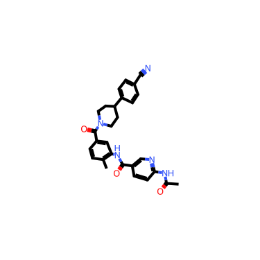 CC(=O)Nc1ccc(C(=O)Nc2cc(C(=O)N3CCC(c4ccc(C#N)cc4)CC3)ccc2C)cn1